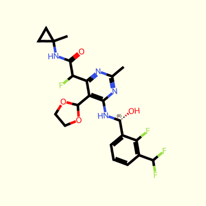 Cc1nc(N[C@H](O)c2cccc(C(F)F)c2F)c(C2OCCO2)c(C(F)C(=O)NC2(C)CC2)n1